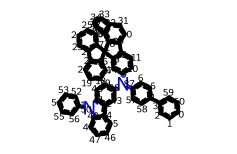 c1ccc(-c2ccc(N(c3ccc4c(c3)C3(c5ccccc5-c5ccccc53)c3c-4ccc4ccccc34)c3ccc4c(c3)c3ccccc3n4-c3ccccc3)cc2)cc1